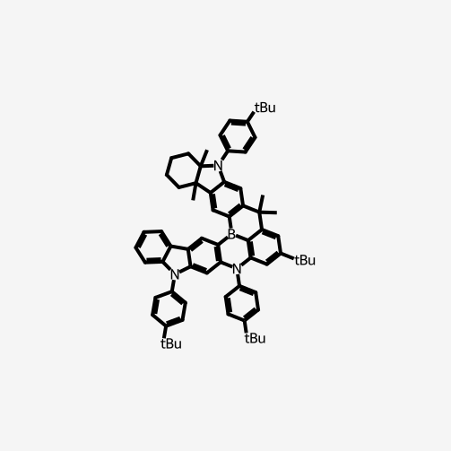 CC(C)(C)c1ccc(N2c3cc4c(cc3B3c5cc6c(cc5C(C)(C)c5cc(C(C)(C)C)cc2c53)N(c2ccc(C(C)(C)C)cc2)C2(C)CCCCC62C)c2ccccc2n4-c2ccc(C(C)(C)C)cc2)cc1